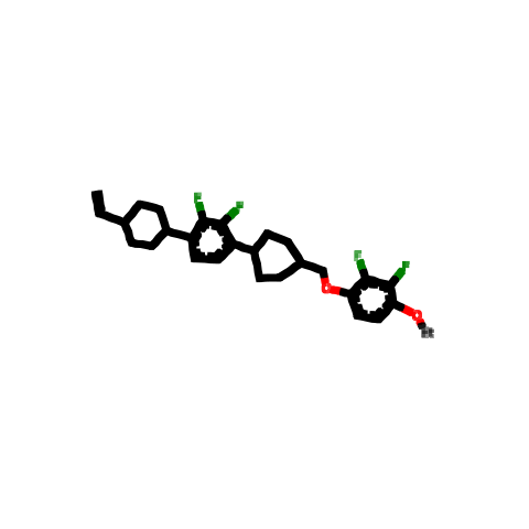 C=CC1CCC(c2ccc(C3CCC(COc4ccc(OCC)c(F)c4F)CC3)c(F)c2F)CC1